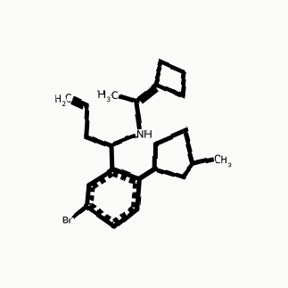 C=CCC(NC(C)=C1CCC1)c1cc(Br)ccc1C1CCC(C)C1